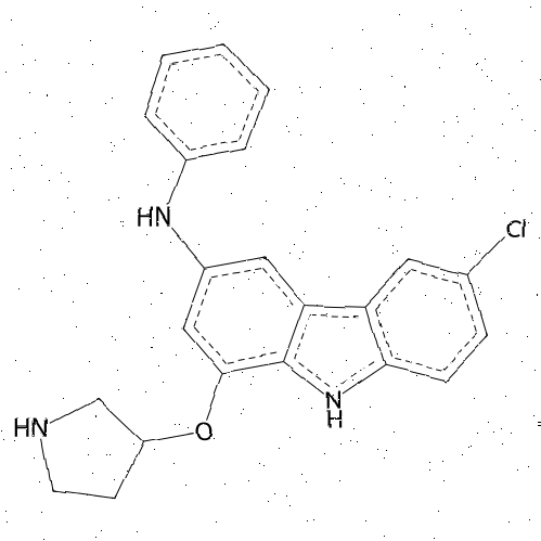 Clc1ccc2[nH]c3c(OC4CCNC4)cc(Nc4ccccc4)cc3c2c1